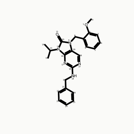 COc1ccccc1Cn1c(=O)n(C(C)C)c2nc(NCc3ccccc3)ncc21